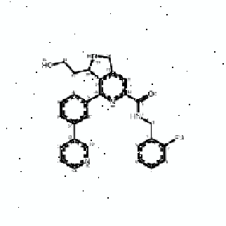 O=C(NCc1ccccc1F)c1cc2c(c(-c3cccc(-c4cccnc4)c3)n1)C(CCO)NC2